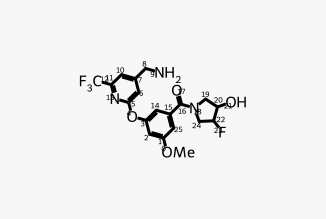 COc1cc(Oc2cc(CN)cc(C(F)(F)F)n2)cc(C(=O)N2CC(O)C(F)C2)c1